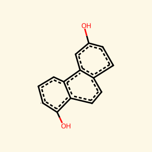 Oc1ccc2ccc3c(O)[c]ccc3c2c1